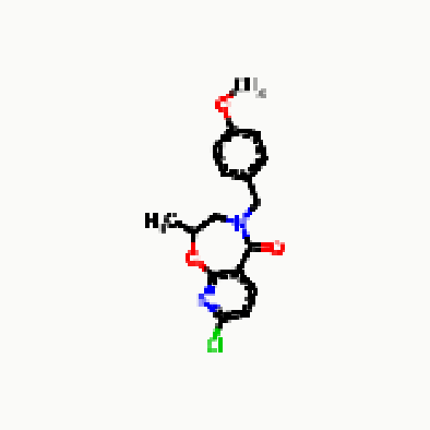 COc1ccc(CN2CC(C)Oc3nc(Cl)ccc3C2=O)cc1